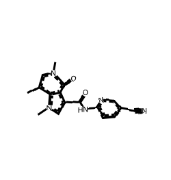 Cc1cn(C)c(=O)c2c(C(=O)Nc3ccc(C#N)cn3)cn(C)c12